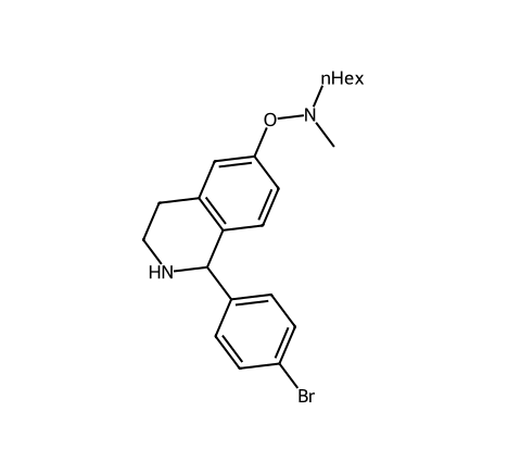 CCCCCCN(C)Oc1ccc2c(c1)CCNC2c1ccc(Br)cc1